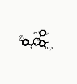 Cc1cc2c(cc1C(=O)O)N=C(Nc1ccc(OC(F)(F)F)cc1)CC[C@@H]2C1C[C@H](C)CC[C@H]1C(C)C